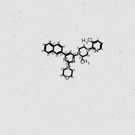 Cc1cccnc1N1CCN(c2cc(-c3ccc4ccccc4c3)nc(N3CCOCC3)n2)[C@H](C)C1